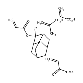 C=C(C)C(=O)O.C=CC(=O)O.C=CC(=O)OC.C=CC(=O)OC1(CC)C2CC3CC(C2)CC1C3